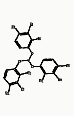 CCc1ccc(OB(Oc2ccc(CC)c(CC)c2CC)Oc2ccc(CC)c(CC)c2CC)c(CC)c1CC